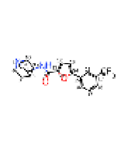 O=C(NC1CN2CCC1CC2)c1ccc(-c2cccc(C(F)(F)F)c2)o1